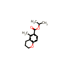 Cc1c(C(=O)OC(C)C)ccc2c1CCCO2